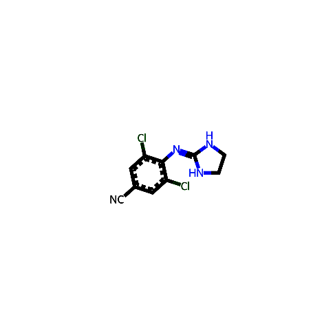 N#Cc1cc(Cl)c(N=C2NCCN2)c(Cl)c1